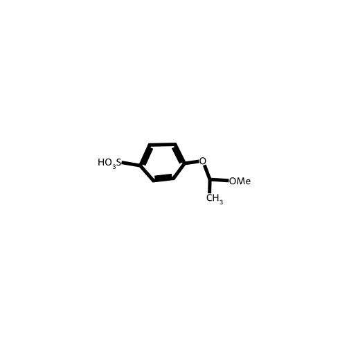 COC(C)Oc1ccc(S(=O)(=O)O)cc1